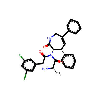 C[C@H](N)C(=O)N(C(=O)Cc1cc(F)cc(F)c1)[C@@H]1C(=O)NCC(c2ccccc2)=C[C@@H]1c1ccccc1